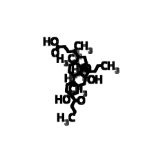 CCCC(=O)[C@]1(O)CC[C@@]2(C)C(C1)C[C@@](O)(C(=O)CCC)[C@H]1[C@@H]3CC[C@H]([C@H](C)CCC(=O)O)[C@@]3(C)CC[C@@H]12